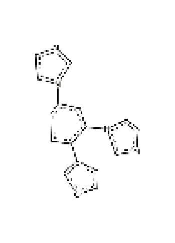 c1cn(-c2ccc(-c3ccoc3)c(-n3ccnc3)c2)cn1